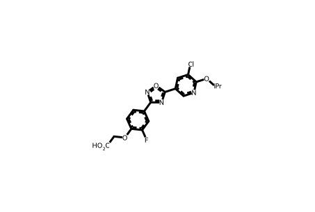 CC(C)Oc1ncc(-c2nc(-c3ccc(OCC(=O)O)c(F)c3)no2)cc1Cl